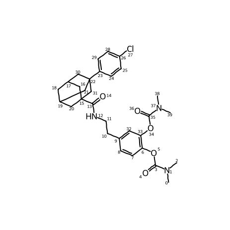 CN(C)C(=O)Oc1ccc(CCNC(=O)C23CC4CC(C2)CC(c2ccc(Cl)cc2)(C4)C3)cc1OC(=O)N(C)C